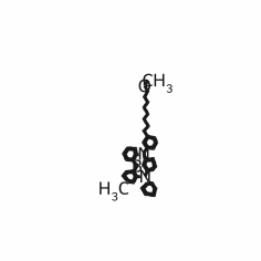 COCCCCCCCCc1cccc(N2c3ccccc3B3c4ccc(C)cc4N(c4ccccc4)c4cccc2c43)c1